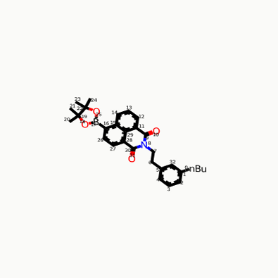 CCCCc1cccc(CCN2C(=O)c3cccc4c(B5OC(C)(C)C(C)(C)O5)ccc(c34)C2=O)c1